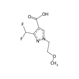 COCCn1cc(C(=O)O)c(C(F)F)n1